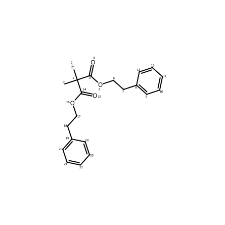 CC(F)(C(=O)OCCc1ccccc1)C(=O)OCCc1ccccc1